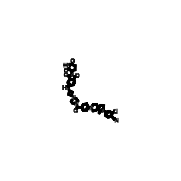 CC1N(c2ccc(C#N)c(Cl)c2)CCC12CCN(c1ccc(C(=O)N3CCN(C4CC(Nc5ccc6c(c5)C(=O)N(C5CCC(=O)NC5=O)C6=O)C4)CC3)cc1)CC2